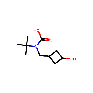 CC(C)(C)N(CC1CC(O)C1)C(=O)O